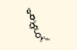 CC(C)(C)OC(=O)N1CCC(Cn2ncc3c(Oc4ccc(-n5ccnc5)cc4)ncnc32)CC1